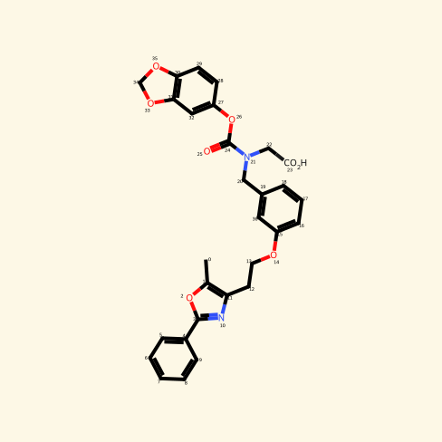 Cc1oc(-c2ccccc2)nc1CCOc1cccc(CN(CC(=O)O)C(=O)Oc2ccc3c(c2)OCO3)c1